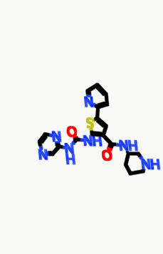 O=C(Nc1cnccn1)Nc1sc(-c2ccccn2)cc1C(=O)N[C@H]1CCCNC1